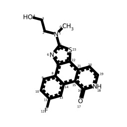 CN(CCO)c1nc2c3ccc(F)cc3c3c(=O)[nH]ccc3c2s1